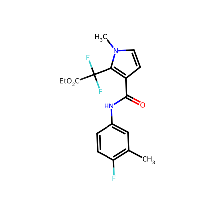 CCOC(=O)C(F)(F)c1c(C(=O)Nc2ccc(F)c(C)c2)ccn1C